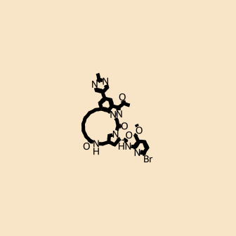 COCc1ccc(Br)nc1NC(=O)[C@@H]1C[C@@]2(C)CNC(=O)CCCCCCc3cc(-c4cnc(C)nc4)cc4c(C(C)=O)nn(c34)CC(=O)N1C2